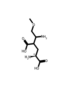 COCC(N)C(C[C@H](N)C(=O)O)C(=O)O